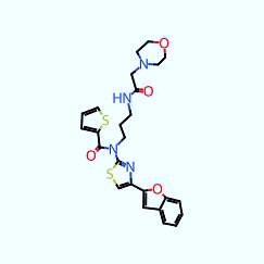 O=C(CN1CCOCC1)NCCCN(C(=O)c1cccs1)c1nc(-c2cc3ccccc3o2)cs1